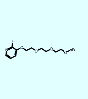 CCCOCCOCCOCCOc1cccnc1F